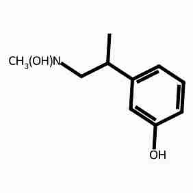 CC(CN(C)O)c1cccc(O)c1